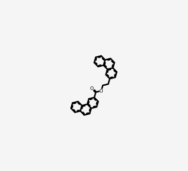 O=C(OCCc1ccc2ccc3ccccc3c2c1)c1ccc2ccc3ccccc3c2c1